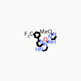 COc1nccc(NC(=O)N2CCCNc3ccc(-c4cccc(C(F)(F)F)c4)nc32)n1